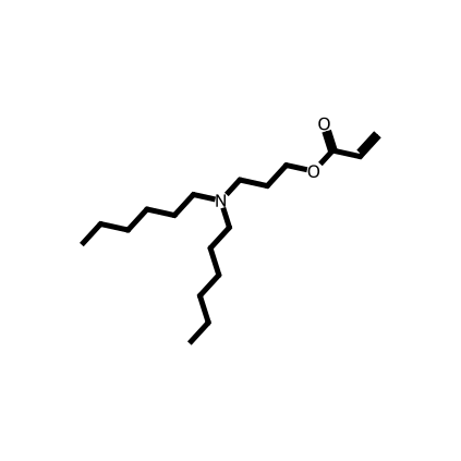 C=CC(=O)OCCCN(CCCCCC)CCCCCC